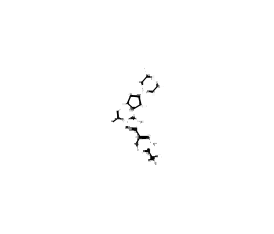 CC(C)n1nc(-c2cnc(C(F)(F)F)nc2)nc1[C@@H]1CC[C@@H](N2CCO[C@H](C)C2)C1